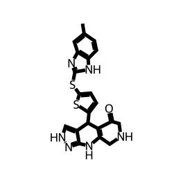 Cc1ccc2[nH]c(Sc3ccc(C4C5=C(CNCC5=O)Nc5n[nH]cc54)s3)nc2c1